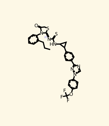 CCCc1ccccc1N1C(=O)CS/C1=N\C(=S)NC1CC1c1ccc(-c2ncn(-c3ccc(OC(F)(F)F)cc3)n2)cc1